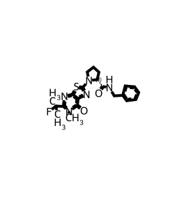 Cn1c(C(C)(C)F)nc2sc(N3CCC[C@@H]3C(=O)NCc3ccccc3)nc2c1=O